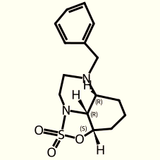 O=S1(=O)O[C@H]2CCC[C@@H]3[C@H]2N1CCN3Cc1ccccc1